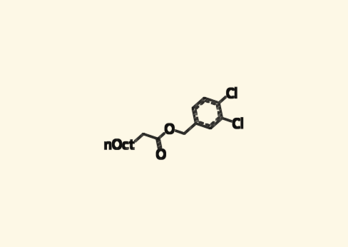 CCCCCCCCCC(=O)OCc1ccc(Cl)c(Cl)c1